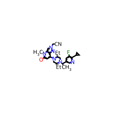 CC[C@H]1CN(C(C)c2cnc(C3CC3)c(F)c2)[C@H](CC)CN1c1cc(=O)n(C)c2cn(CC#N)nc12